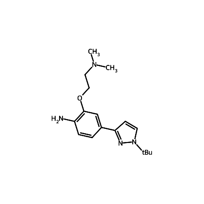 CN(C)CCOc1cc(-c2ccn(C(C)(C)C)n2)ccc1N